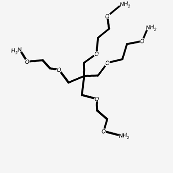 NOCCOCC(COCCON)(COCCON)COCCON